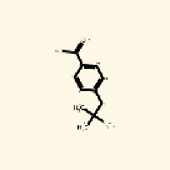 CC(C)(C)Cc1ccc(C(=O)I)cc1